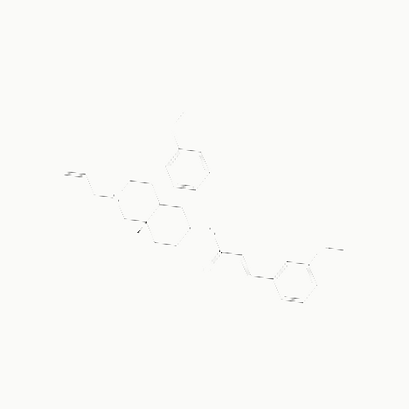 C=CCN1CC[C@@]2(c3cccc(OC)c3)C[C@H](NC(=O)C=Cc3cccc(OC)c3)CC[C@@H]2C1